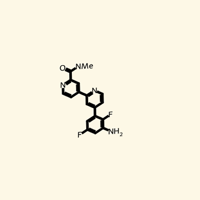 CNC(=O)c1cc(-c2cc(-c3cc(F)cc(N)c3F)ccn2)ccn1